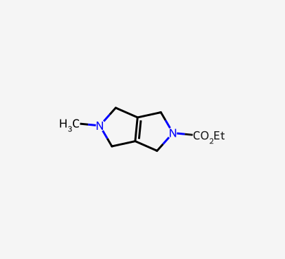 CCOC(=O)N1CC2=C(CN(C)C2)C1